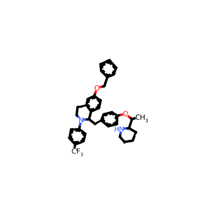 CC(Oc1ccc(CC2c3ccc(OCc4ccccc4)cc3CCN2c2ccc(C(F)(F)F)cc2)cc1)C1CCCCN1